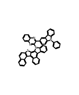 c1ccc(-n2c3ccccc3c3cc(-c4nc5ccccc5nc4-n4c5ccccc5c5c6ccccc6c6c(sc7ccc8ccccc8c76)c54)ccc32)cc1